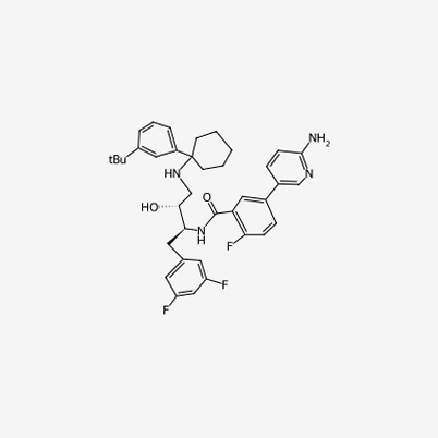 CC(C)(C)c1cccc(C2(NC[C@@H](O)[C@H](Cc3cc(F)cc(F)c3)NC(=O)c3cc(-c4ccc(N)nc4)ccc3F)CCCCC2)c1